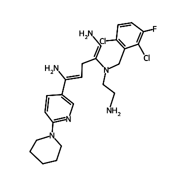 N/C=C(\C/C=C(\N)c1ccc(N2CCCCC2)nc1)N(CCN)Cc1c(Cl)ccc(F)c1Cl